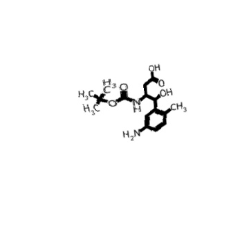 Cc1ccc(N)cc1C(O)C(CC(=O)O)NC(=O)OC(C)(C)C